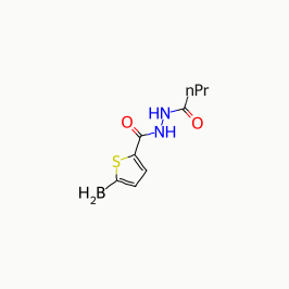 Bc1ccc(C(=O)NNC(=O)CCC)s1